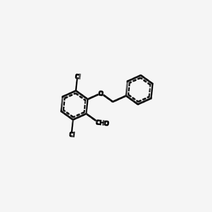 O=Cc1c(Cl)ccc(Cl)c1OCc1ccccc1